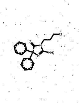 CCCCN1C(=O)C(c2ccccc2)(c2ccccc2)N=C1N